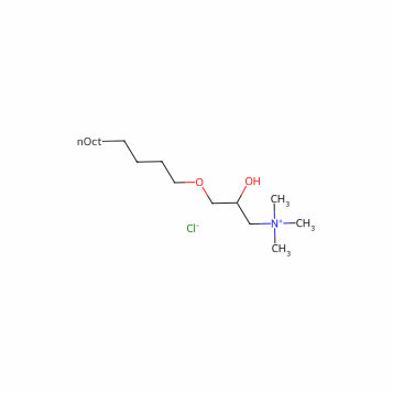 CCCCCCCCCCCCOCC(O)C[N+](C)(C)C.[Cl-]